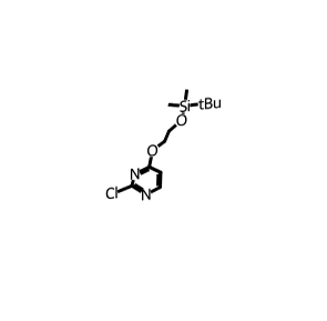 CC(C)(C)[Si](C)(C)OCCOc1ccnc(Cl)n1